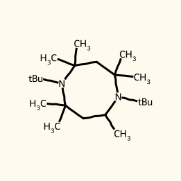 CC1CC(C)(C)N(C(C)(C)C)C(C)(C)CC(C)(C)N1C(C)(C)C